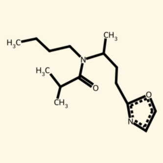 CCCCN(C(=O)C(C)C)C(C)CCc1ncco1